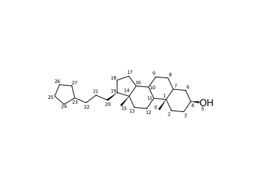 C[C@]12CC[C@H](O)CC1CCC1C2CC[C@@]2(C)C1CC[C@@H]2CCCC1CCCC1